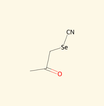 CC(=O)C[Se]C#N